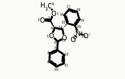 COC(=O)[C@@H]1OC(c2ccccc2)O[C@H]1c1ccccc1[N+](=O)[O-]